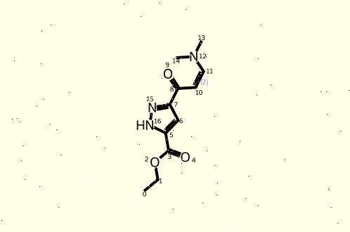 CCOC(=O)c1cc(C(=O)/C=C\N(C)C)n[nH]1